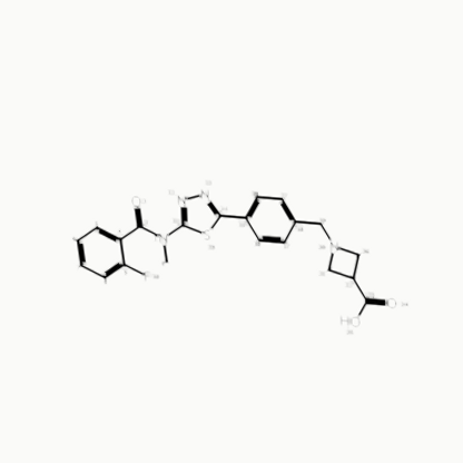 CN(C(=O)c1ccccc1F)c1nnc(-c2ccc(CN3CC(C(=O)O)C3)cc2)s1